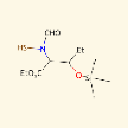 CCOC(=O)C(C(CC)O[Si](C)(C)C)N(S)C=O